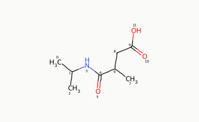 CC(C)NC(=O)C(C)CC(=O)O